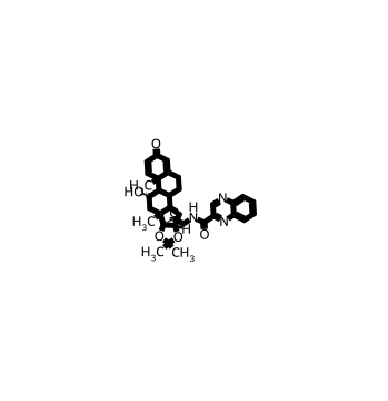 CC1(C)O[C@H]2CC3C4CCC5=CC(=O)C=CC5(C)C4[C@@H](O)CC3(C)[C@]2(C(=O)CNC(=O)c2cnc3ccccc3n2)O1